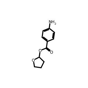 Nc1ccc(C(=O)OC2CCCO2)cc1